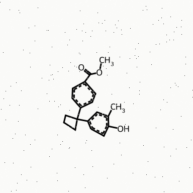 COC(=O)c1ccc(C2(c3ccc(O)c(C)c3)CCC2)cc1